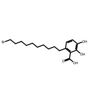 O=C(O)c1c(CCCCCCCCCCBr)ccc(O)c1O